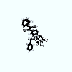 O=C1CN(c2ccc(C(Br)C(Br)c3ccccc3)cc2OCc2ccccc2)S(=O)(=O)N1